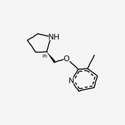 Cc1cccnc1OC[C@H]1CCCN1